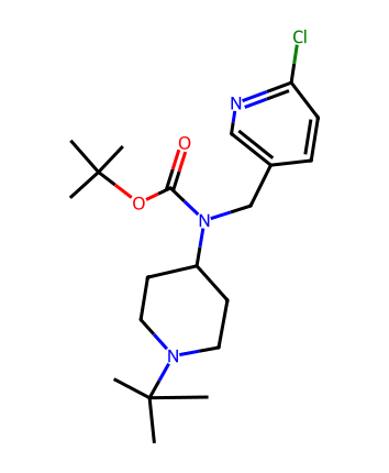 CC(C)(C)OC(=O)N(Cc1ccc(Cl)nc1)C1CCN(C(C)(C)C)CC1